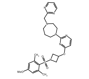 COc1cc(C)c(S(=O)(=O)N2CC(Oc3ccnc(N4CCCN(Cc5ncccn5)CC4)n3)C2)c(C)c1